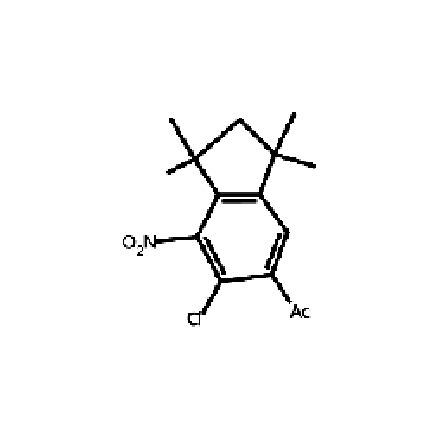 CC(=O)c1cc2c(c([N+](=O)[O-])c1Cl)C(C)(C)CC2(C)C